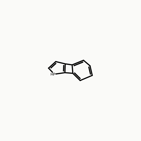 c1ccc2c(c1)-c1cc[pH]c1-2